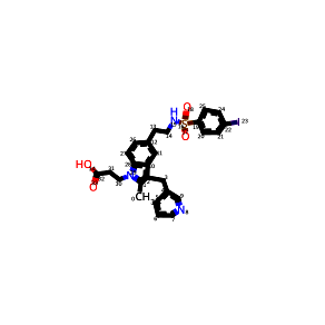 Cc1c(Cc2cccnc2)c2cc(CCNS(=O)(=O)c3ccc(I)cc3)ccc2n1CCC(=O)O